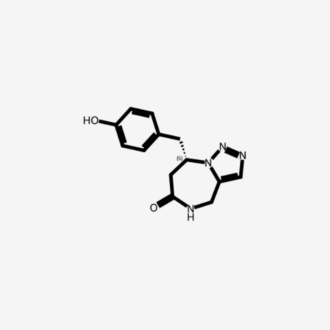 O=C1C[C@H](Cc2ccc(O)cc2)n2nncc2CN1